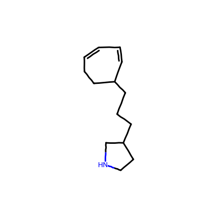 C1=CCCC(CCCC2CCNC2)C=C1